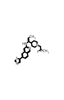 C/C=C(/Nc1cc2cc(-c3cncs3)ccc2cn1)C1CCN(C[C@@H](C)F)CC1